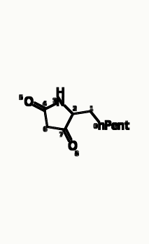 CCCCCCC1NC(=O)CC1=O